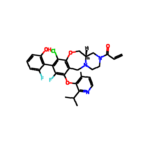 C=CC(=O)N1CCN2Cc3c(Oc4c(C)ccnc4C(C)C)c(F)c(-c4c(O)cccc4F)c(Cl)c3OC[C@@H]2C1